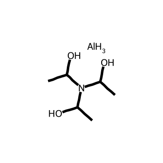 CC(O)N(C(C)O)C(C)O.[AlH3]